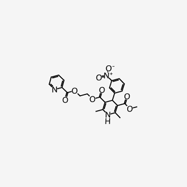 COC(=O)C1=C(C)NC(C)=C(C(=O)OCCOC(=O)c2ccccn2)C1c1cccc([N+](=O)[O-])c1